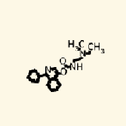 CCN(CC)CCNC(=O)Oc1cnc(-c2ccccc2)c2ccccc12